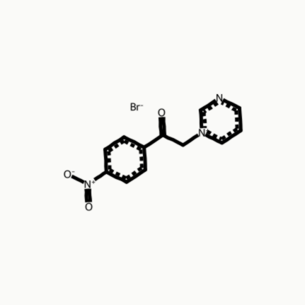 O=C(C[n+]1cccnc1)c1ccc([N+](=O)[O-])cc1.[Br-]